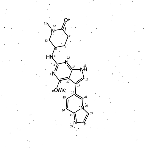 COc1nc(NC2CCC(=O)N(C)C2)nc2[nH]cc(-c3ccc4nccn4c3)c12